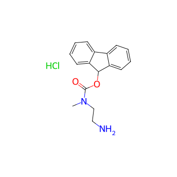 CN(CCN)C(=O)OC1c2ccccc2-c2ccccc21.Cl